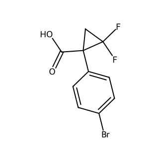 O=C(O)C1(c2ccc(Br)cc2)CC1(F)F